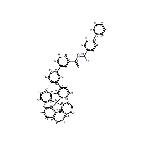 C=C(/N=C(\C)c1ccc(-c2ccccc2)cc1)c1cccc(-c2cccc(-c3cccc4c3-c3ccccc3C43c4cccc5ccc6cccc3c6c45)c2)c1